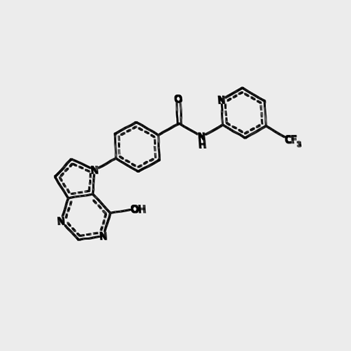 O=C(Nc1cc(C(F)(F)F)ccn1)c1ccc(-n2ccc3ncnc(O)c32)cc1